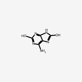 Nc1nc(O)nc2[nH]c(O)nc12